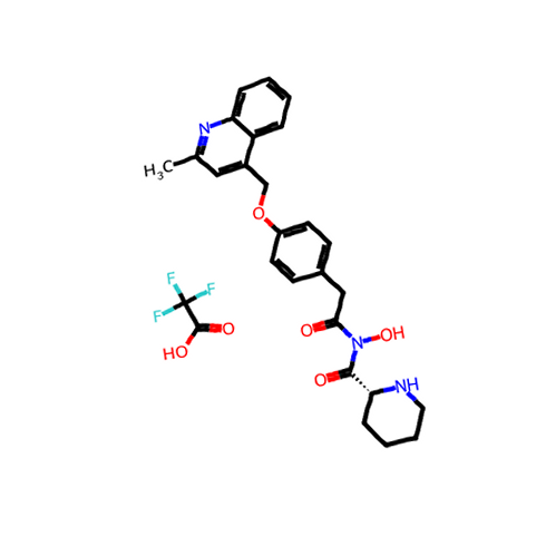 Cc1cc(COc2ccc(CC(=O)N(O)C(=O)[C@H]3CCCCN3)cc2)c2ccccc2n1.O=C(O)C(F)(F)F